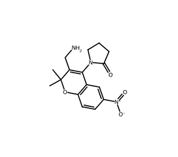 CC1(C)Oc2ccc([N+](=O)[O-])cc2C(N2CCCC2=O)=C1CN